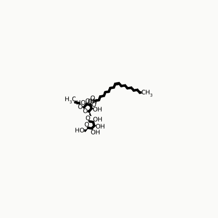 CCCCCCCC/C=C\CCCCCCCC(=O)O[C@]1(O)[C@@H](O)[C@@H](CO[C@H]2O[C@H](CO)[C@H](O)[C@H](O)[C@@H]2O)O[C@@H](OCCC)C1(O)O